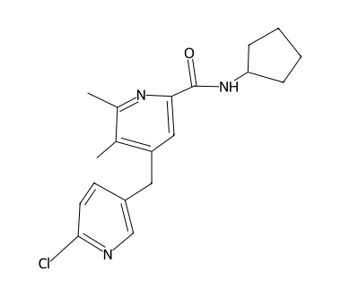 Cc1nc(C(=O)NC2CCCC2)cc(Cc2ccc(Cl)nc2)c1C